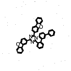 c1ccc(-c2cccc(-c3ccccc3-c3nc(-c4ccc5c(c4)oc4ccccc45)nc(-c4ccc5oc6ccccc6c5c4)n3)c2)cc1